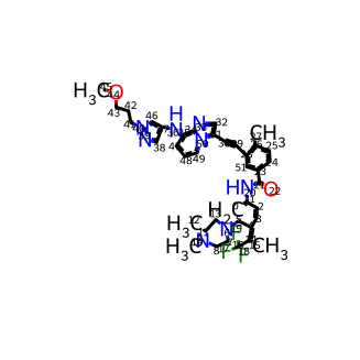 C=C(/C=C\C(CN1CCN(C)[C@@H](C)C1)=C(/C)C(F)(F)F)NC(=O)c1ccc(C)c(C#Cc2cnc3c(Nc4cnn(CCCOC)c4)cccn23)c1